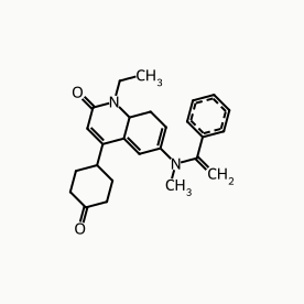 C=C(c1ccccc1)N(C)C1=CCC2C(=C1)C(C1CCC(=O)CC1)=CC(=O)N2CC